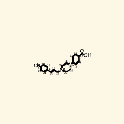 O=C(O)c1ccc(N2CCN(C/C=C/c3ccc(Cl)cc3)CC2)cc1